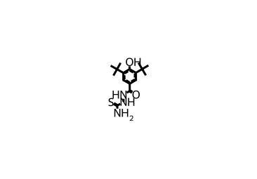 CC(C)(C)c1cc(C(=O)NNC(N)=S)cc(C(C)(C)C)c1O